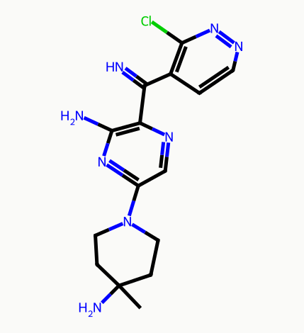 CC1(N)CCN(c2cnc(C(=N)c3ccnnc3Cl)c(N)n2)CC1